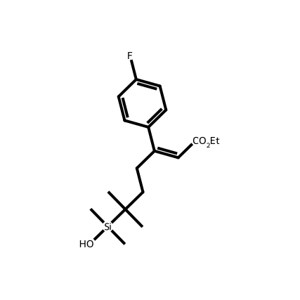 CCOC(=O)/C=C(/CCC(C)(C)[Si](C)(C)O)c1ccc(F)cc1